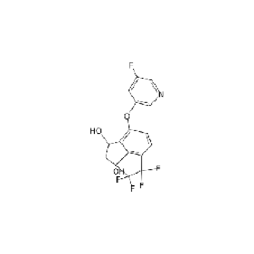 OC1CC2(O)c3c(ccc(Oc4cncc(F)c4)c31)C(F)(F)C2(F)F